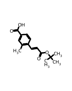 Cc1cc(C(=O)O)ccc1C=CC(=O)OC(C)(C)C